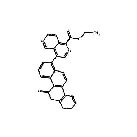 CCOC(=O)c1ncc(-c2cccc3c4c(ccc23)C2=C(CCC=C2)CC4=O)c2cnccc12